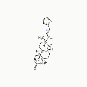 C[C@]12CCC(=O)N[C@@H]1CC[C@@H]1[C@@H]2CC[C@]2(C)[C@@H](/C=C/c3cccs3)CC[C@@H]12